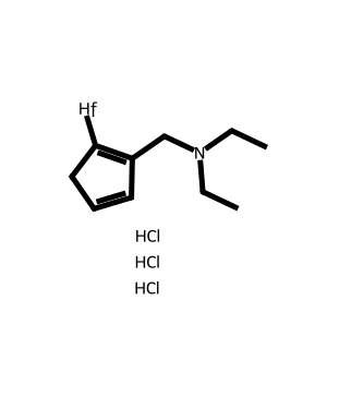 CCN(CC)CC1=[C]([Hf])CC=C1.Cl.Cl.Cl